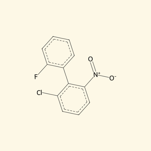 O=[N+]([O-])c1cccc(Cl)c1-c1ccccc1F